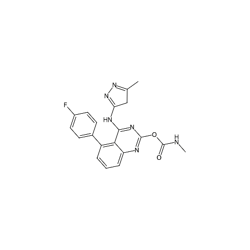 CNC(=O)Oc1nc(NC2=NN=C(C)C2)c2c(-c3ccc(F)cc3)cccc2n1